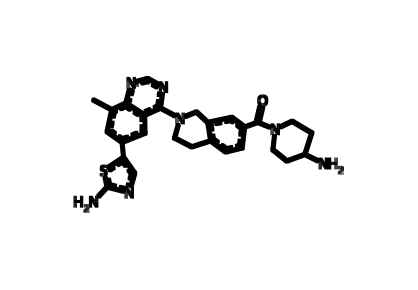 Cc1cc(-c2cnc(N)s2)cc2c(N3CCc4ccc(C(=O)N5CCC(N)CC5)cc4C3)ncnc12